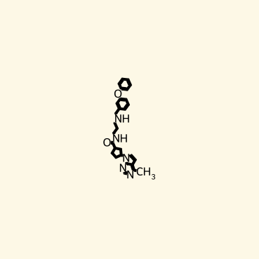 Cc1ncnc2c1ccn2C1CCC(C(=O)NCCCNCc2cccc(Oc3ccccc3)c2)C1